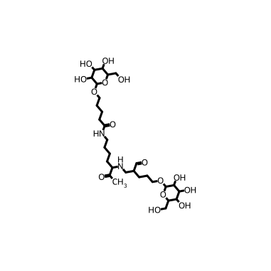 CC(=O)C(CCCCNC(=O)CCCCOC1OC(CO)C(O)C(O)C1O)NCC(C=O)CCCOC1OC(CO)C(O)C(O)C1O